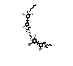 C=CCCCOc1c(Br)cc(C(C)(C)c2cc(Br)c(OC(CC)(CC)CCCCCOc3c(Br)cc(C(C)(C)c4cc(Br)c(OC(CC)(CC)CCC=C)c(Br)c4)cc3Br)c(Br)c2)cc1Br